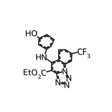 CCOC(=O)c1c(Nc2cccc(O)c2)c2ccc(C(F)(F)F)cc2n2nnnc12